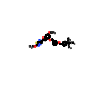 COc1cc(OCc2cccc(OCc3ccc(C(C)(C)C)cc3)c2)c2cc(-c3cn4nc(OC)sc4n3)oc2c1